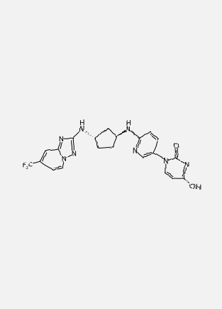 O=c1nc(O)ccn1-c1ccc(N[C@H]2CC[C@H](Nc3nc4cc(C(F)(F)F)ccn4n3)C2)nc1